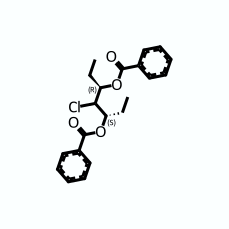 CC[C@H](OC(=O)c1ccccc1)C(Cl)[C@@H](CC)OC(=O)c1ccccc1